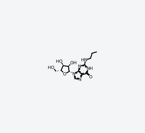 CCCNc1nc2c(ncn2[C@@H]2O[C@H](CO)[C@@H](O)[C@H]2O)c(=O)[nH]1